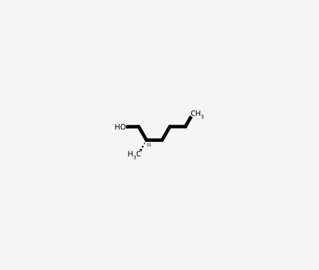 CCCC[C@H](C)CO